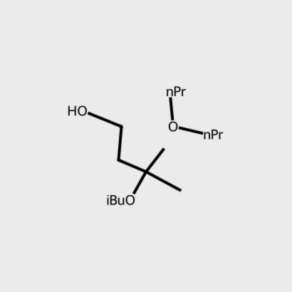 CC(C)COC(C)(C)CCO.CCCOCCC